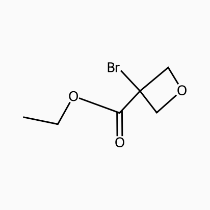 CCOC(=O)C1(Br)COC1